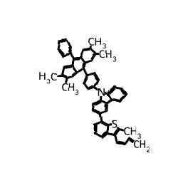 C=C/C=C\c1c(C)sc2c(-c3ccc4c(c3)c3ccccc3n4-c3ccc(-c4c5cc(C)c(C)cc5c(-c5ccccc5)c5cc(C)c(C)cc45)cc3)cccc12